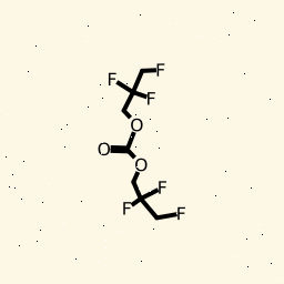 O=C(OCC(F)(F)CF)OCC(F)(F)CF